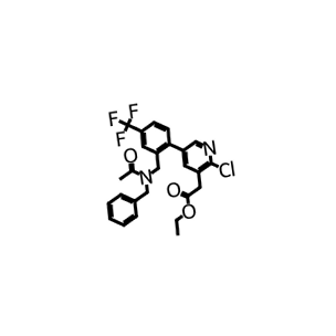 CCOC(=O)Cc1cc(-c2ccc(C(F)(F)F)cc2CN(Cc2ccccc2)C(C)=O)cnc1Cl